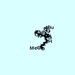 CCCCCC1(CC[C@H]2C(NC(=O)OC(C)(C)C)CC(O)[C@@H]2C/C=C\CCCC(=O)OC)OCCO1